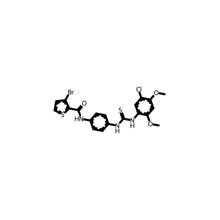 COc1cc(OC)c(NC(=S)Nc2ccc(NC(=O)c3sccc3Br)cc2)cc1Cl